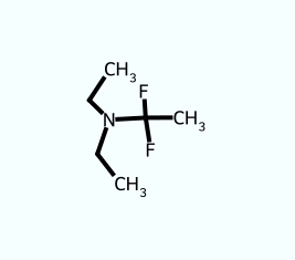 CCN(CC)C(C)(F)F